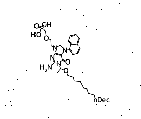 CCCCCCCCCCCCCCCCCCOC(C)n1c(N)nc2c(c1=O)N(c1cccc3ccccc13)CN2CCOCP(=O)(O)O